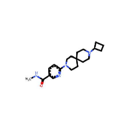 CNC(=O)c1ccc(N2CCC3(CC2)CCN(C2CCC2)CC3)nc1